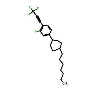 CCCCCCCC1CCC(c2ccc(C#CC(F)(F)F)c(F)c2)CC1